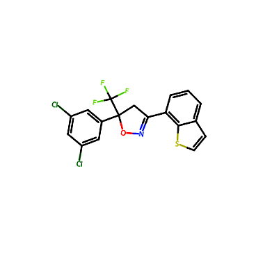 FC(F)(F)C1(c2cc(Cl)cc(Cl)c2)CC(c2cccc3ccsc23)=NO1